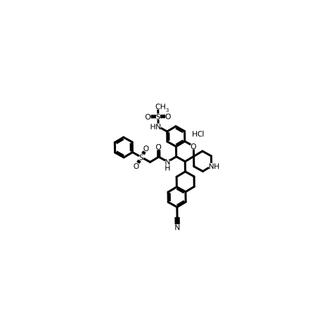 CS(=O)(=O)Nc1ccc2c(c1)C(NC(=O)CS(=O)(=O)c1ccccc1)C(C1CCc3cc(C#N)ccc3C1)C1(CCNCC1)O2.Cl